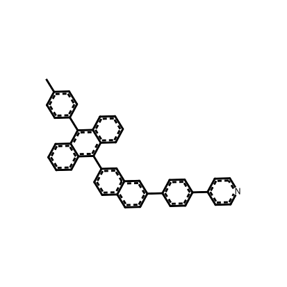 Cc1ccc(-c2c3ccccc3c(-c3ccc4ccc(-c5ccc(-c6ccncc6)cc5)cc4c3)c3ccccc23)cc1